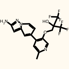 Cc1cc(-c2ccn3nc(N)cc3c2)c(OCC(O)(C(F)(F)F)C(F)(F)F)cn1